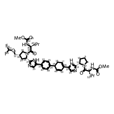 COC(=O)N[C@H](C(=O)N1CCC[C@H]1c1ncc(C2=CCC(c3ccc(-c4cnc([C@@H]5C[C@H](COC(F)F)CN5C(=O)[C@@H](NC(=O)OC)C(C)C)[nH]4)cc3)C=C2)[nH]1)C(C)C